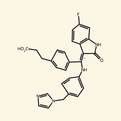 O=C(O)CCc1ccc(/C(Nc2ccc(Cn3ccnc3)cc2)=C2/C(=O)Nc3cc(F)ccc32)cc1